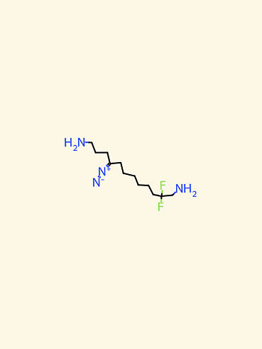 [N-]=[N+]=C(CCCN)CCCCCCC(F)(F)CN